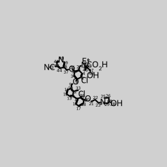 CCN(Cc1cc(Cl)c(OCc2cccc(-c3cccc(OCCCN4CC[C@@H](O)C4)c3Cl)c2C)cc1OCc1cncc(C#N)c1)[C@](C)(CO)C(=O)O